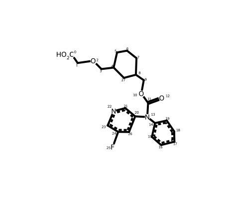 O=C(O)COCC1CCCC(COC(=O)N(c2ccccc2)c2cncc(F)c2)C1